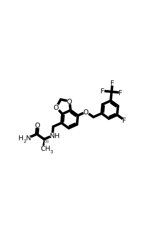 C[C@H](NCc1ccc(OCc2cc(F)cc(C(F)(F)F)c2)c2c1OCO2)C(N)=O